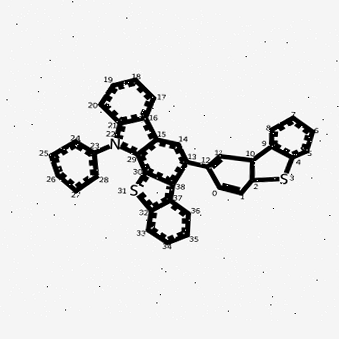 C1=CC2Sc3ccccc3C2C=C1c1cc2c3ccccc3n(-c3ccccc3)c2c2sc3ccccc3c12